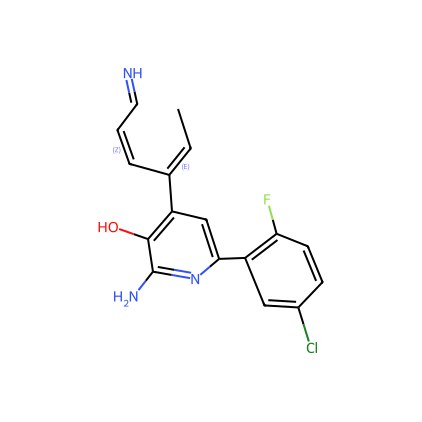 C/C=C(\C=C/C=N)c1cc(-c2cc(Cl)ccc2F)nc(N)c1O